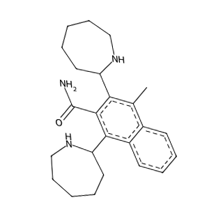 Cc1c(C2CCCCCN2)c(C(N)=O)c(C2CCCCCN2)c2ccccc12